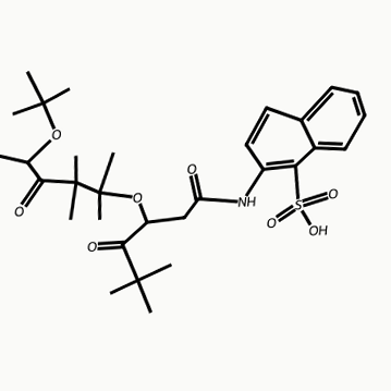 CC(OC(C)(C)C)C(=O)C(C)(C)C(C)(C)OC(CC(=O)Nc1ccc2ccccc2c1S(=O)(=O)O)C(=O)C(C)(C)C